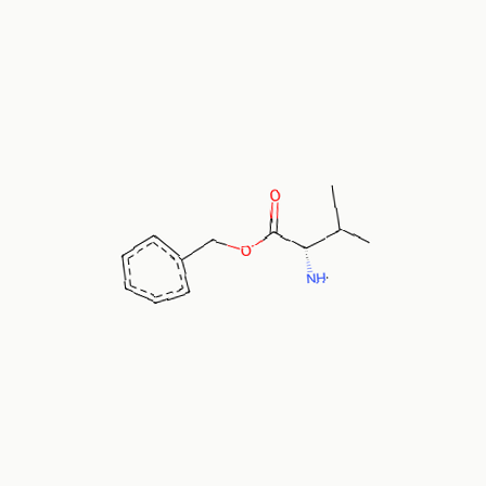 CC(C)[C@H]([NH])C(=O)OCc1ccccc1